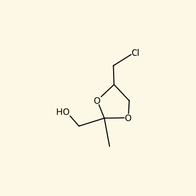 CC1(CO)OCC(CCl)O1